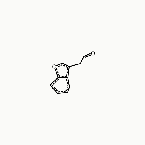 O=CCc1coc2ccccc12